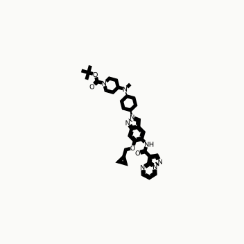 CN(C1CCN(C(=O)OC(C)(C)C)CC1)[C@H]1CC[C@H](n2cc3cc(NC(=O)c4cnn5cccnc45)c(OCC4CC4)cc3n2)CC1